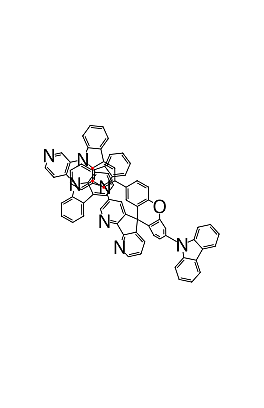 c1cnc2c(c1)C1(c3ccc(-n4c5ccccc5c5ccccc54)cc3Oc3ccc(-c4ccc5c(c4)c4ccccc4n5-c4cnccc4-n4c5ccccc5c5ccccc54)cc31)c1cc(-n3c4ccccc4c4ccccc43)cnc1-2